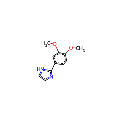 COc1ccc(-c2ncc[nH]2)cc1OC